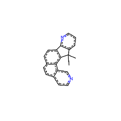 CC1(C)c2cccnc2-c2ccc3ccc4ccncc4c3c21